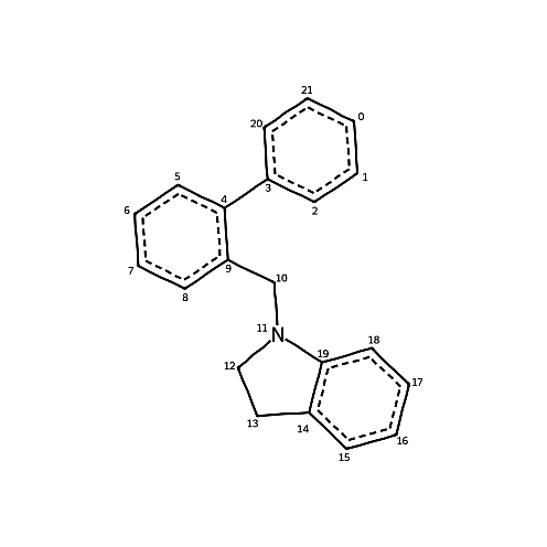 c1ccc(-c2ccccc2CN2CCc3ccccc32)cc1